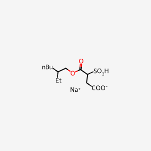 CCCCC(CC)COC(=O)C(CC(=O)[O-])S(=O)(=O)O.[Na+]